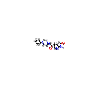 CN1C(=O)Cc2cc(C(=O)CN3CCN(c4ccccc4)CC3)cnc21